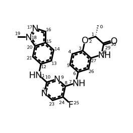 C[C@H]1Oc2ccc(Nc3nc(Nc4ccc5cnn(C)c5c4)ncc3F)cc2NC1=O